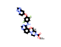 CC(C)(C)OC(=O)N1CCN2c3ccc4ncnc(Nc5cc(F)c(Oc6ccn7ncnc7c6)cc5F)c4c3OC[C@H]2C1